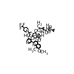 C=CC1C[C@@]1(NC(=O)[C@@H]1C[C@@H](Oc2cc(-c3cccnc3)nc3c(C)c(OC)ccc23)CN1C(=O)[C@@H](CC(=O)N1CCC(C(F)(F)F)CC1)C(C)(C)C)C(=O)NS(=O)(=O)C1CC1